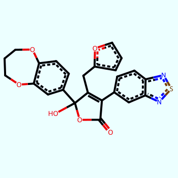 O=C1OC(O)(c2ccc3c(c2)OCCCO3)C(Cc2ccco2)=C1c1ccc2nsnc2c1